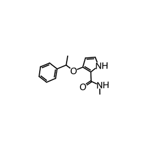 CNC(=O)c1[nH]ccc1OC(C)c1ccccc1